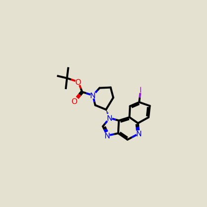 CC(C)(C)OC(=O)N1CCC[C@H](n2cnc3cnc4ccc(I)cc4c32)C1